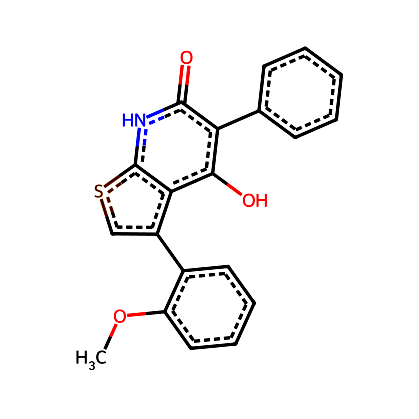 COc1ccccc1-c1csc2[nH]c(=O)c(-c3ccccc3)c(O)c12